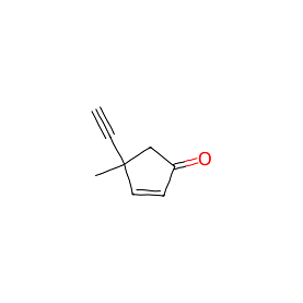 C#CC1(C)C=CC(=O)C1